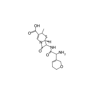 CC1S[C@@H]2C(NC(=O)C(N)C3=CCCOC3)C(=O)N2C=C1C(=O)O